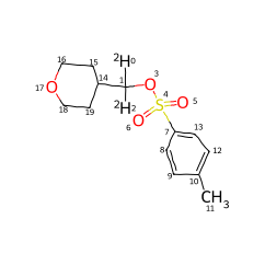 [2H]C([2H])(OS(=O)(=O)c1ccc(C)cc1)C1CCOCC1